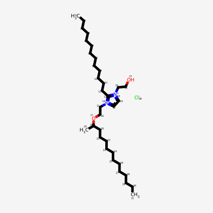 CCCCCCCCCCCCCc1n(CCOC(C)CCCCCCCCCCCC)cc[n+]1CCO.[Cl-]